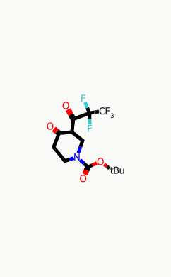 CC(C)(C)OC(=O)N1CCC(=O)C(C(=O)C(F)(F)C(F)(F)F)C1